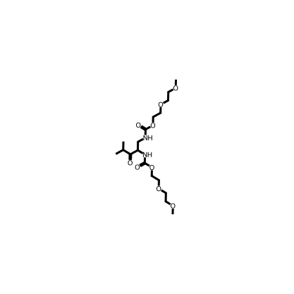 COCCOCCOC(=O)NCC(NC(=O)OCCOCCOC)C(=O)C(C)C